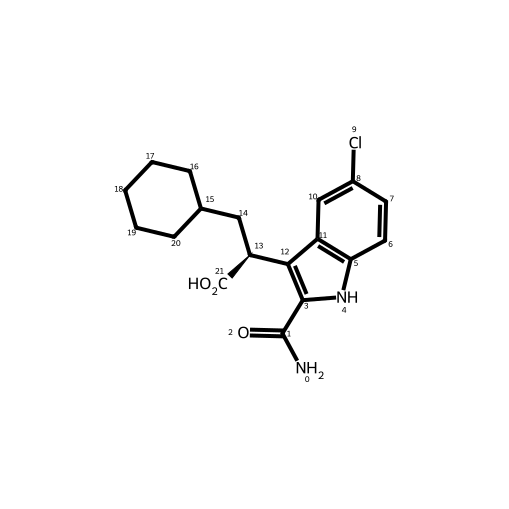 NC(=O)c1[nH]c2ccc(Cl)cc2c1[C@H](CC1CCCCC1)C(=O)O